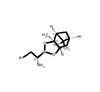 CC(C)C[C@@H](N)B1O[C@@H]2C[C@@H]3C[C@@H](C3(C)C)[C@]2(C)O1